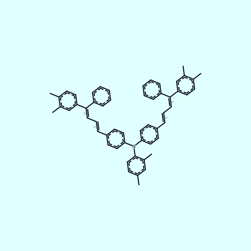 Cc1ccc(N(c2ccc(/C=C/C=C(\c3ccccc3)c3ccc(C)c(C)c3)cc2)c2ccc(/C=C/C=C(\c3ccccc3)c3ccc(C)c(C)c3)cc2)c(C)c1